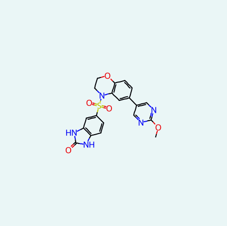 COc1ncc(-c2ccc3c(c2)N(S(=O)(=O)c2ccc4[nH]c(=O)[nH]c4c2)CCO3)cn1